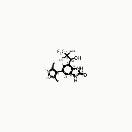 Cc1noc(C)c1-c1cc(C(O)C(F)(F)C(F)(F)F)c2[nH]c(=O)[nH]c2c1